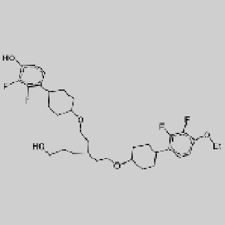 CCOc1ccc(C2CCC(OCCC(CCCO)CCOC3CCC(c4ccc(O)c(F)c4F)CC3)CC2)c(F)c1F